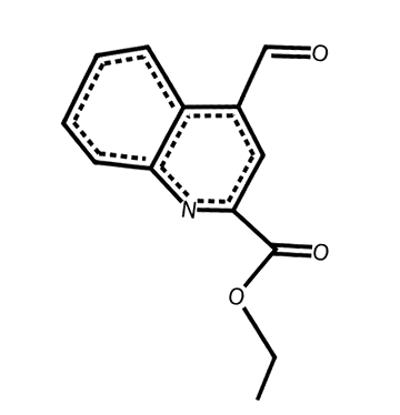 CCOC(=O)c1cc(C=O)c2ccccc2n1